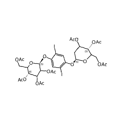 CC(=O)OCC1O[C@@H](Oc2cc(I)c(O[C@@H]3OC(COC(C)=O)[C@@H](OC(C)=O)C(OC(C)=O)C3OC(C)=O)cc2I)CC(OC(C)=O)[C@@H]1OC(C)=O